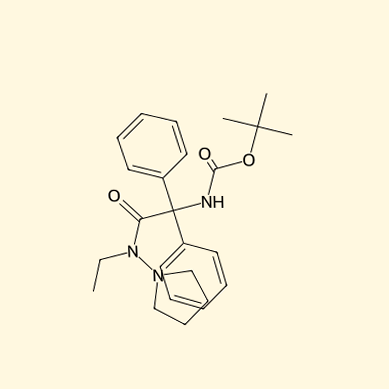 CCN(C(=O)C(NC(=O)OC(C)(C)C)(c1ccccc1)c1ccccc1)N1CCCC1